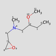 CCC(CN(C)CC1CO1)OC